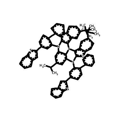 CC(C)c1cc2c3c(c1)N(c1cc(-c4cc5ccccc5s4)ccc1-c1ccccc1)c1oc4ccc(C(C)(C)C)cc4c1B3c1c(oc3ccc(C(C)(C)C)cc13)N2c1cc(-c2cc3ccccc3s2)ccc1-c1ccccc1